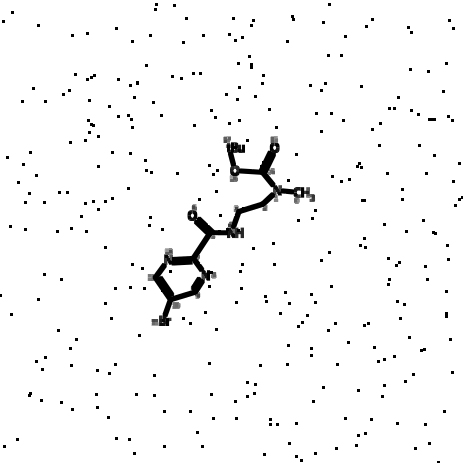 CN(CCNC(=O)c1ncc(Br)cn1)C(=O)OC(C)(C)C